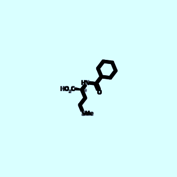 CSCC[C@H](NC(=O)C1CCCCC1)C(=O)O